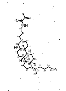 C=C(C)C(=O)NCCC[C@H]1CC[C@@]2(C)[C@@H](CC[C@@H]3[C@@H]2CC[C@]2(C)C([C@H](C)CCCC(C)C)CC[C@@H]32)C1